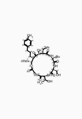 CCCCCC[C@H]1OC(=O)CNC(=O)[C@H]([C@H](C)O)NC(=O)[C@H](CO)NC(=O)[C@H]([C@H](C)CC)NC(=O)[C@H](CC(C)C)N(C)C(=O)[C@@H]1CCCc1ccc(C)cc1